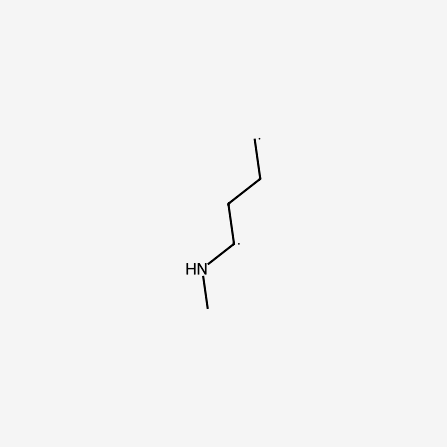 [CH2]CC[CH]NC